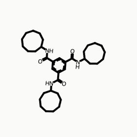 O=C(NC1CCCCCCCC1)c1cc(C(=O)NC2CCCCCCCC2)cc(C(=O)NC2CCCCCCCC2)c1